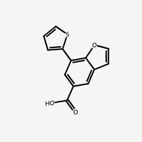 O=C(O)c1cc(-c2cccs2)c2occc2c1